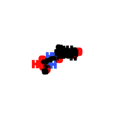 C=C(C)C1CCC2(C(=O)NCCCCC(NC(=O)OC(C)(C)C)C(=O)O)CC[C@]3(C)[C@H](CC[C@@H]4[C@@]5(C)CCC(=O)C(C)(C)[C@@H]5CC[C@]43C)C12